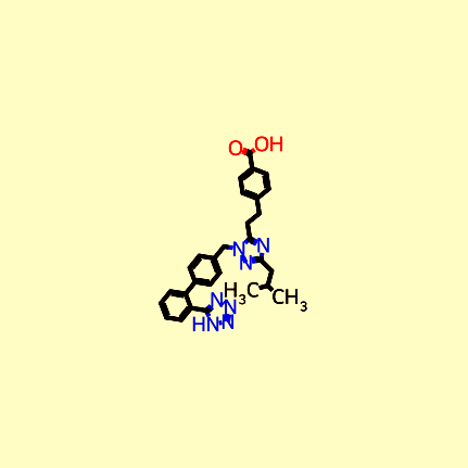 CC(C)Cc1nc(CCc2ccc(C(=O)O)cc2)n(Cc2ccc(-c3ccccc3-c3nnn[nH]3)cc2)n1